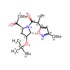 COC(=O)[C@@H]1CC(O[Si](C)(C)C(C)(C)C)CN1C(=O)C(c1cc(OC)no1)C(C)C